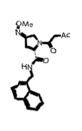 CON=C1C[C@@H](C(=O)NCc2cccc3ccccc23)N(C(=O)CC(C)=O)C1